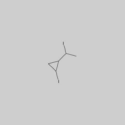 CC(I)C1CC1I